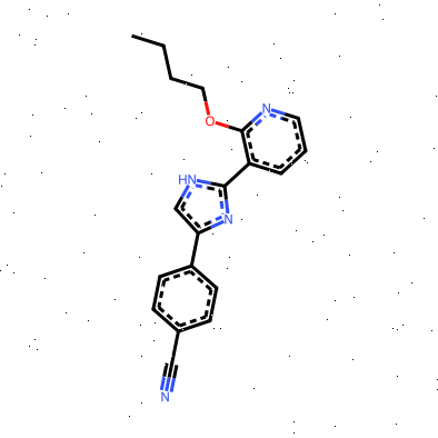 CCCCOc1ncccc1-c1nc(-c2ccc(C#N)cc2)c[nH]1